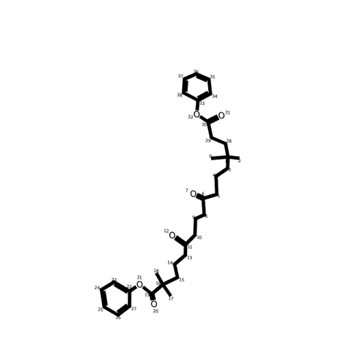 CC(C)(CCCC(=O)CCCC(=O)CCCC(C)(C)C(=O)Oc1ccccc1)CCC(=O)Oc1ccccc1